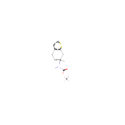 CN(C(=O)OC(C)(C)C)C1(C)CCc2ccsc2C1